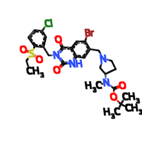 CCS(=O)(=O)c1ccc(Cl)cc1Cn1c(=O)[nH]c2cc(CN3CCC(N(C)C(=O)OC(C)(C)C)C3)c(Br)cc2c1=O